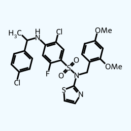 COc1ccc(CN(c2nccs2)S(=O)(=O)c2cc(Cl)c(NC(C)c3ccc(Cl)cc3)cc2F)c(OC)c1